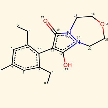 CCc1cc(C)cc(CC)c1-c1c(O)n2n(c1=O)CCOCC2